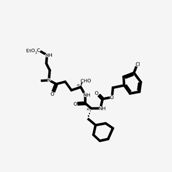 CCOC(=O)NCCN(C)C(=O)CC[C@H](C=O)NC(=O)[C@@H](CC1CCCCC1)NC(=O)OCc1cccc(Cl)c1